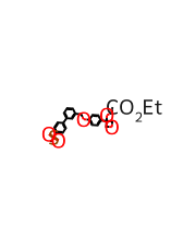 CCOC(=O)COC1(c2ccc(OCc3cccc(-c4ccc(S(C)(=O)=O)cc4)c3)cc2)COC1